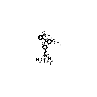 COc1ccc2c(Oc3ccc(/C=C/C(=O)OC(C)(C)C)cc3)c(-c3ccccc3C(C)=O)sc2c1